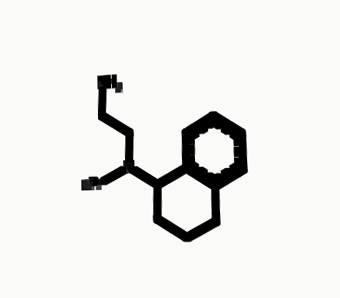 CCCN(CCN)C1CCCc2ccccc21